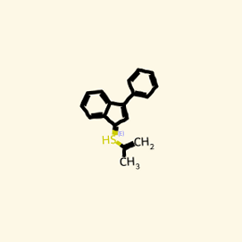 C=C(C)/[SH]=C1\C=C(c2ccccc2)c2ccccc21